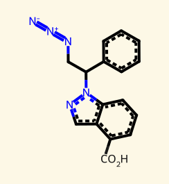 [N-]=[N+]=NCC(c1ccccc1)n1ncc2c(C(=O)O)cccc21